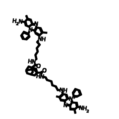 CC1=CC2=Nc3cc(C)c(NCCCCCCNC(=O)C45CC6CC(C4)CC(C(=O)NCCCCCCNc4cc7c(cc4C)nc4cc(C)c(N)cc4[n+]7-c4ccccc4)(C6)C5)cc3N(c3ccccc3)C2C=C1N